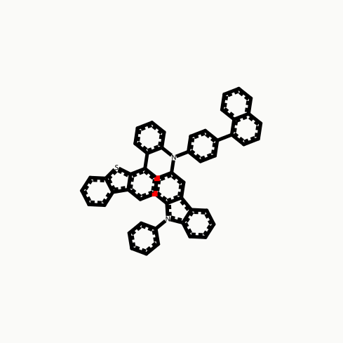 c1ccc(-n2c3ccccc3c3cc(N(c4ccc(-c5cccc6ccccc56)cc4)c4ccccc4-c4cccc5c4sc4ccccc45)ccc32)cc1